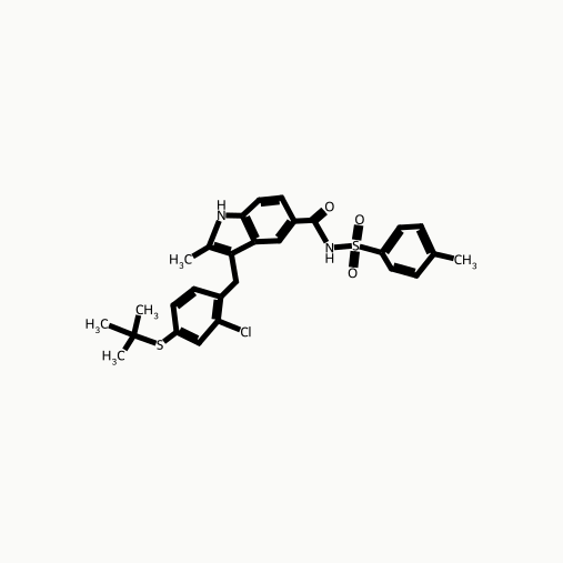 Cc1ccc(S(=O)(=O)NC(=O)c2ccc3[nH]c(C)c(Cc4ccc(SC(C)(C)C)cc4Cl)c3c2)cc1